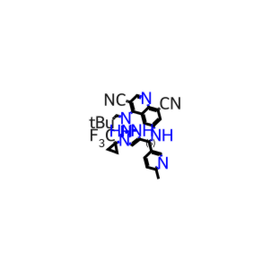 Cc1ccc([C@H](Nc2cc(C#N)c3ncc(C#N)c(NCC(C)(C)C)c3c2)C2=CN(C3(C(F)(F)F)CC3)NN2)cn1